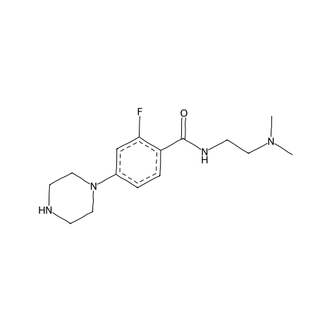 CN(C)CCNC(=O)c1ccc(N2CCNCC2)cc1F